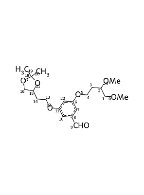 COCC(CCOc1cc(C=O)cc(OCCC2COC(C)(C)O2)c1)OC